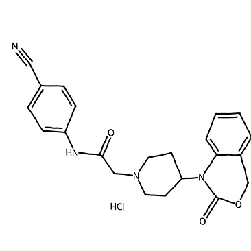 Cl.N#Cc1ccc(NC(=O)CN2CCC(N3C(=O)OCc4ccccc43)CC2)cc1